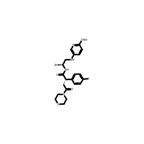 COc1ccc(NC[C@@H](NC(=O)[C@@H](CC(=O)N2CCOCC2)c2ccc(F)cc2)C(C)C)cn1